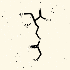 CC[C@](N)(CCOC(=O)CN)C(=O)O